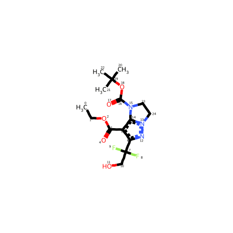 CCOC(=O)c1c(C(F)(F)CO)nn2c1N(C(=O)OC(C)(C)C)CC2